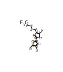 CC1=C(CCCCC(F)(F)F)C=C(c2cc(C)c(C)s2)C1